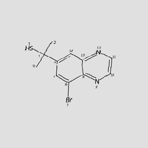 CC(C)(S)c1cc(Br)c2nccnc2c1